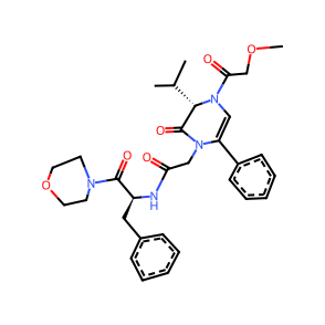 COCC(=O)N1C=C(c2ccccc2)N(CC(=O)N[C@@H](Cc2ccccc2)C(=O)N2CCOCC2)C(=O)[C@@H]1C(C)C